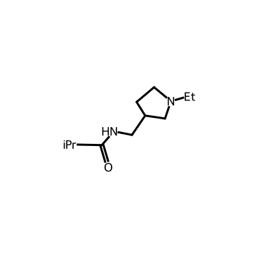 CCN1CCC(CNC(=O)C(C)C)C1